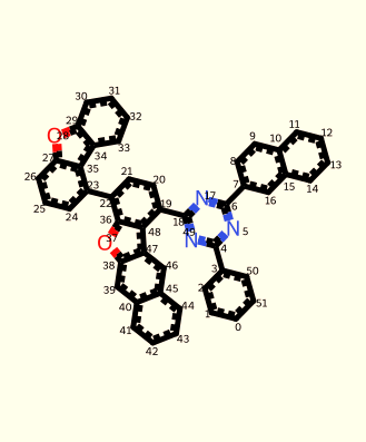 c1ccc(-c2nc(-c3ccc4ccccc4c3)nc(-c3ccc(-c4cccc5oc6ccccc6c45)c4oc5cc6ccccc6cc5c34)n2)cc1